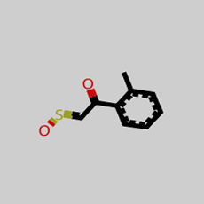 Cc1ccccc1C(=O)C=S=O